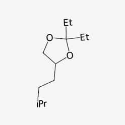 CCC1(CC)OCC(CCC(C)C)O1